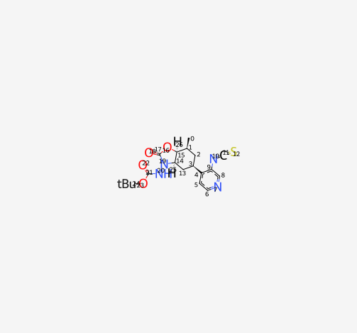 C[C@H]1C[C@@H](c2ccncc2N=C=S)C[C@@H]2[C@H]1OC(=O)N2NC(=O)OC(C)(C)C